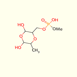 COP(=O)(O)OCC1OC(C)C(O)OC1O